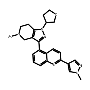 CC(=O)N1CCc2c(c(-c3cccc4nc(-c5cnn(C)c5)ccc34)nn2C2CCOC2)C1